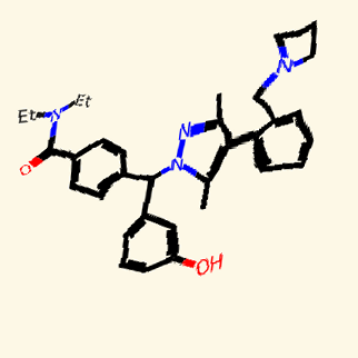 CCN(CC)C(=O)c1ccc(C(c2cccc(O)c2)n2nc(C)c(-c3ccccc3CN3CCC3)c2C)cc1